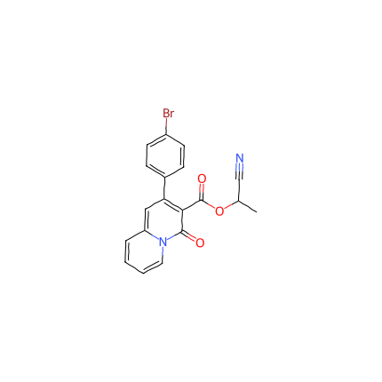 CC(C#N)OC(=O)c1c(-c2ccc(Br)cc2)cc2ccccn2c1=O